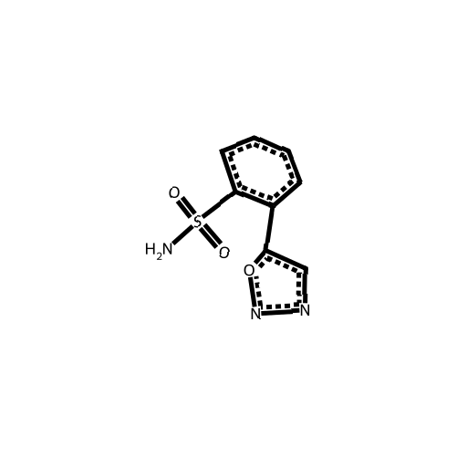 NS(=O)(=O)c1ccccc1-c1cnno1